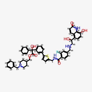 O=C(NCc1ccc(-c2cccc(C(O)(C(=O)OCC3CCN(Cc4ccccc4)CC3)c3ccccc3)c2)s1)c1ccc(CNCC(O)c2ccc(O)c3[nH]c(=O)ccc23)cc1F